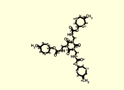 C=C1CSCC(OC(=O)NCn2c(=O)n(CNC(=O)OC3CSCC(=C)CS3)c(=O)n(CNC(=O)OC3CSCC(=C)CS3)c2=O)SC1